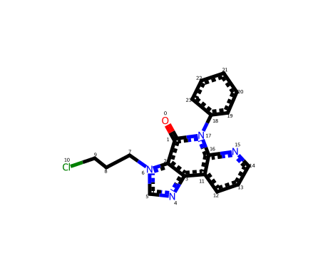 O=c1c2c(ncn2CCCCl)c2cccnc2n1-c1ccccc1